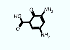 NC1=CC(C(=O)O)C(=O)C(N)=C1